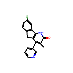 Cc1c(-c2cccnc2)c2c([nH]c1=O)-c1cc(Cl)ccc1C2